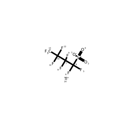 O=S(=O)([O-])C(F)(F)C(F)(F)C(F)(F)C(F)(F)F.[Tl+]